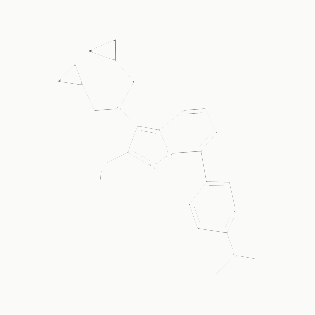 CSc1nn2c(-c3ccc(N(C)C)nc3)cccc2c1N(CC1CC1)CC1CC1